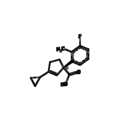 Cc1c(F)cccc1[C@@]1(C(=O)O)C=C(C2CC2)CC1